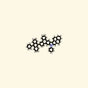 C1=Cc2ccc3c4c(cc5c3c3cc6c7ccccc7c7cc(-c8c9ccccc9c(-c9ccccc9)c9ccccc89)ccc7c6cc3n5-c3ccccc3)CC=C(C1)c24